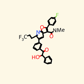 CNC(=O)c1c(-c2ccc(F)cc2)oc2nc(CCC(F)(F)F)c(-c3cccc(C(=O)C(O)c4ccccc4)c3)cc12